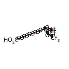 CCN(CC)c1ccc(NC(=O)c2cccc(CCCOCCOCCOCCOCCOCCOCCOCCOCCOCCC(=O)O)c2)c(-c2cc(C(=O)NCc3cccc(C(F)(F)F)c3)ccn2)c1